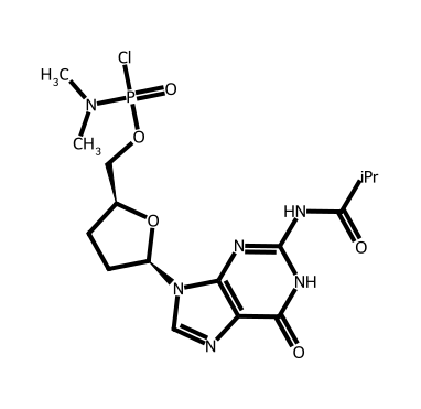 CC(C)C(=O)Nc1nc2c(ncn2[C@H]2CC[C@@H](COP(=O)(Cl)N(C)C)O2)c(=O)[nH]1